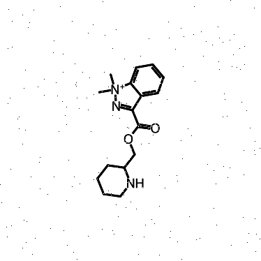 C[N+]1(C)N=C(C(=O)OCC2CCCCN2)c2ccccc21